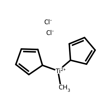 [CH3][Ti+2]([CH]1C=CC=C1)[CH]1C=CC=C1.[Cl-].[Cl-]